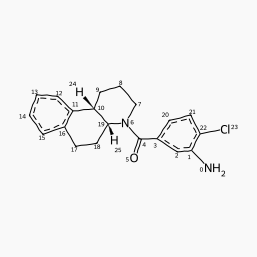 Nc1cc(C(=O)N2CCC[C@H]3c4ccccc4CC[C@H]32)ccc1Cl